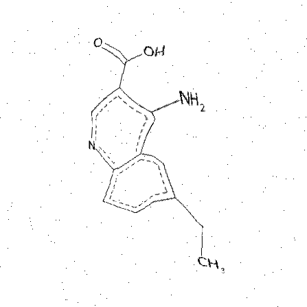 CCc1ccc2ncc(C(=O)O)c(N)c2c1